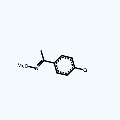 CON=C(C)c1ccc(Cl)cc1